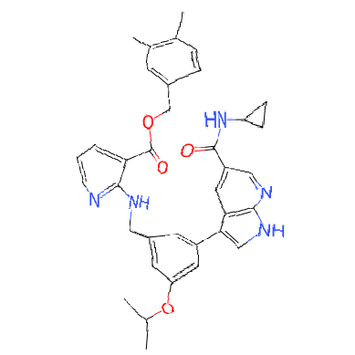 Cc1ccc(COC(=O)c2cccnc2NCc2cc(OC(C)C)cc(-c3c[nH]c4ncc(C(=O)NC5CC5)cc34)c2)cc1C